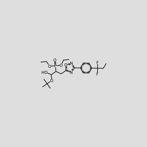 CCOP(=O)(OCC)C(Cc1nc(-c2ccc(C(F)(F)CC)cc2)no1)C(O)OC(C)(C)C